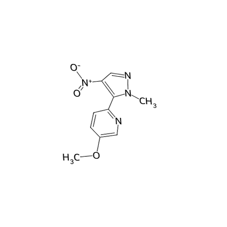 COc1ccc(-c2c([N+](=O)[O-])cnn2C)nc1